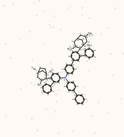 CC[C@H]1C[C@H]2CC[C@H](C2)[C@]12c1ccccc1-c1cc(N(c3ccc(-c4ccccc4)cc3)c3ccc(-c4ccc5c(c4)-c4ccccc4[C@]54[C@H]5CC(C[C@@H](C)C5)C[C@@H]4C)cc3)ccc12